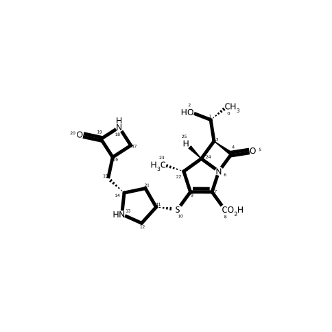 C[C@@H](O)[C@H]1C(=O)N2C(C(=O)O)=C(S[C@@H]3CN[C@H](CC4CNC4=O)C3)[C@H](C)[C@H]12